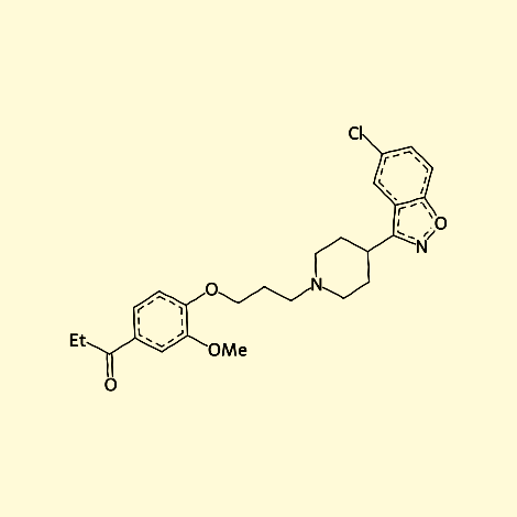 CCC(=O)c1ccc(OCCCN2CCC(c3noc4ccc(Cl)cc34)CC2)c(OC)c1